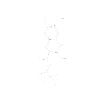 COc1cc2nc(OC)c(C(C)N[S+]([O-])C(C)(C)C)cc2cc1Cl